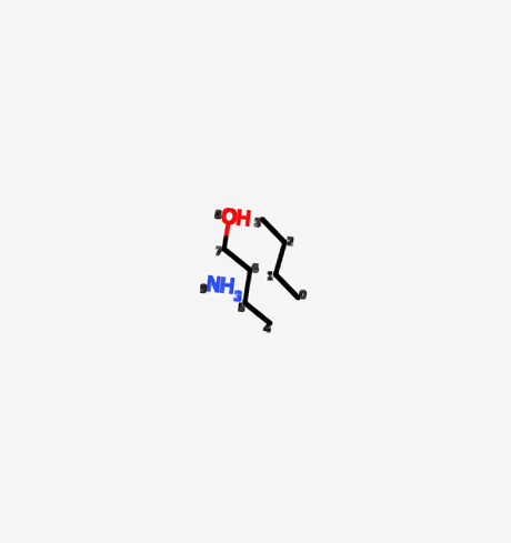 CCCC.CCCCO.N